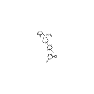 N[C@@H]1c2ccnn2CC12CCN(c1cnc(Sc3ccc(F)cc3Cl)cn1)CC2